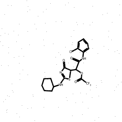 O=C(Nc1ccccc1Cl)C(OC(=O)C(F)(F)F)C1SC(NC2CCCCC2)=NC1=O